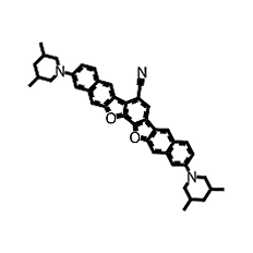 CC1CC(C)CN(c2ccc3cc4c(cc3c2)oc2c4cc(C#N)c3c4cc5ccc(N6CC(C)CC(C)C6)cc5cc4oc23)C1